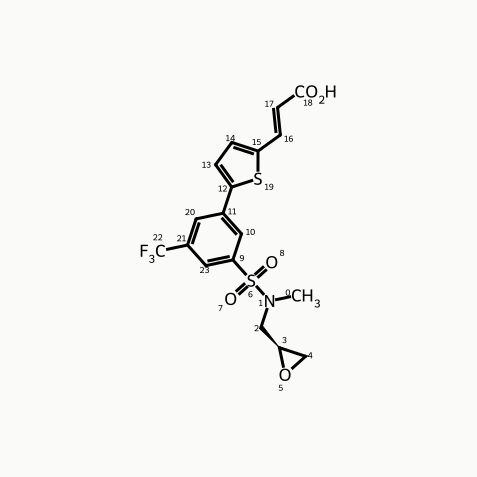 CN(C[C@H]1CO1)S(=O)(=O)c1cc(-c2ccc(/C=C/C(=O)O)s2)cc(C(F)(F)F)c1